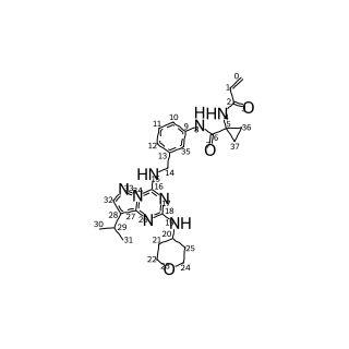 C=CC(=O)NC1(C(=O)Nc2cccc(CNc3nc(NC4CCOCC4)nc4c(C(C)C)cnn34)c2)CC1